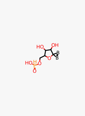 O=[PH](O)OCC1OC2(B=B2)C(O)C1O